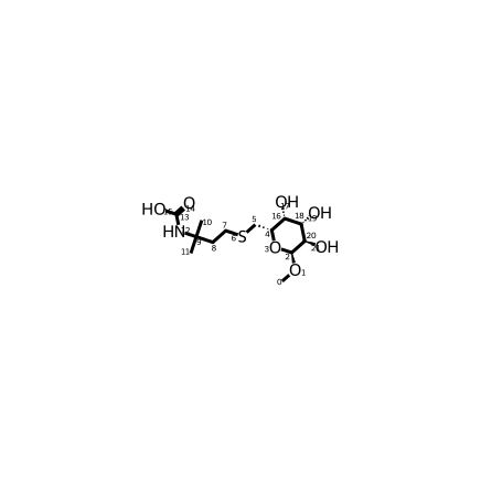 CO[C@H]1O[C@H](CSCCC(C)(C)NC(=O)O)[C@H](O)[C@H](O)[C@H]1O